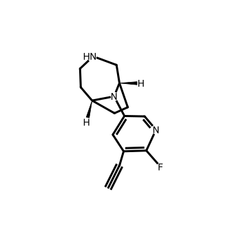 C#Cc1cc(N2[C@H]3CCNC[C@@H]2CC3)cnc1F